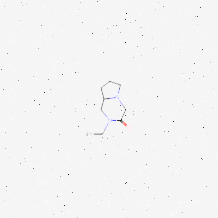 CC(C)CN1CC2CCCN2CC1=O